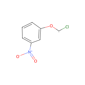 O=[N+]([O-])c1cccc(O[CH]Cl)c1